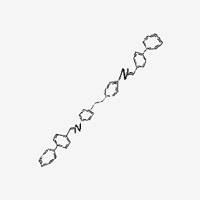 C(=Nc1ccc(CCc2ccc(N=Cc3ccc(-c4ccccc4)cc3)cc2)cc1)c1ccc(-c2ccccc2)cc1